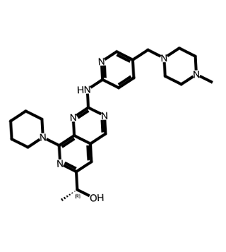 C[C@@H](O)c1cc2cnc(Nc3ccc(CN4CCN(C)CC4)cn3)nc2c(N2CCCCC2)n1